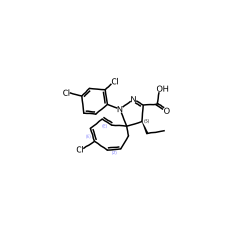 CC[C@@H]1C(C(=O)O)=NN(c2ccc(Cl)cc2Cl)C12/C=C/C=C(Cl)\C=C/C2